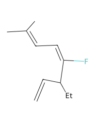 C=CC(CC)/C(F)=C\C=C(C)C